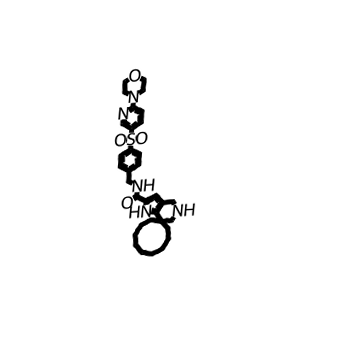 O=C(NCc1ccc(S(=O)(=O)c2ccc(N3CCOCC3)nc2)cc1)c1cc2c([nH]1)C1(CCCCCCCCC1)CNC2